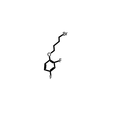 Fc1ccc(OCCCCBr)c(F)c1